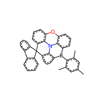 Cc1cc(C)c(B2c3cccc4c3N3c5c(cccc5C5(c6ccccc6-c6ccccc65)c5cccc2c53)O4)c(C)c1